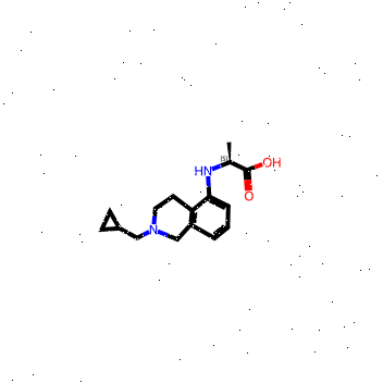 C[C@H](Nc1cccc2c1CCN(CC1CC1)C2)C(=O)O